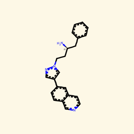 N[C@H](CCn1cc(-c2ccc3cnccc3c2)cn1)Cc1ccccc1